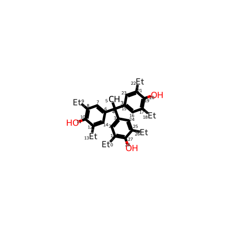 CCc1cc(C(C)(c2cc(CC)c(O)c(CC)c2)c2cc(CC)c(O)c(CC)c2)cc(CC)c1O